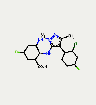 Cc1nn(C)c(NC2C(N)CC(F)CC2C(=O)O)c1C1CCC(F)CC1Cl